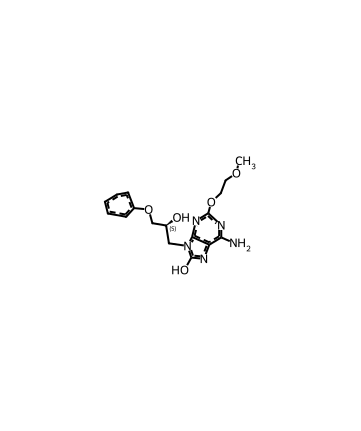 COCCOc1nc(N)c2nc(O)n(C[C@H](O)COc3ccccc3)c2n1